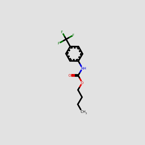 CCCCOC(=O)Nc1ccc(C(F)(F)F)cc1